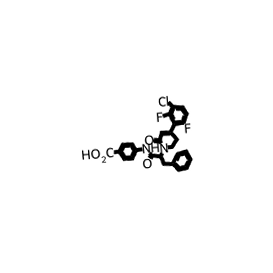 O=C(O)c1ccc(NC(=O)C(Cc2ccccc2)N2CCC(c3c(F)ccc(Cl)c3F)=CC2=O)cc1